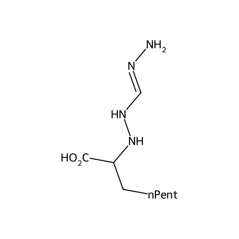 CCCCCCC(NNC=NN)C(=O)O